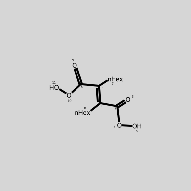 CCCCCCC(C(=O)OO)=C(CCCCCC)C(=O)OO